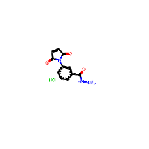 Cl.NNC(=O)c1cccc(N2C(=O)C=CC2=O)c1